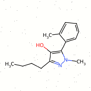 CCCCc1nn(C)c(-c2ccccc2C)c1O